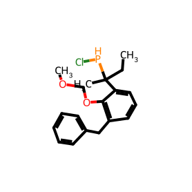 CCC(C)(PCl)c1cccc(Cc2ccccc2)c1OCOC